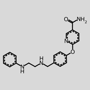 NC(=O)c1ccc(Oc2ccc(CNCCNc3ccccc3)cc2)nc1